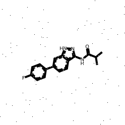 CC(C)C(=O)Nc1n[nH]c2cc(-c3ccc(F)cc3)ccc12